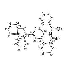 O=c1c2ccccc2c2cc(-c3cc4ccccc4c4ccccc34)cc3c4ccccc4c(=O)n1c23